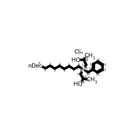 CCCCCCCCCCCCCCCCCC[N+](Cc1ccccc1)(CC(C)O)CC(C)O.[Cl-]